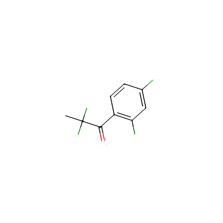 CC(F)(F)C(=O)c1ccc(F)cc1F